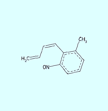 C=C/C=C\c1c(C)cccc1N=O